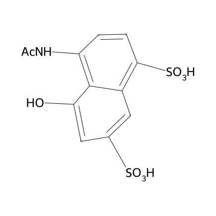 CC(=O)Nc1ccc(S(=O)(=O)O)c2cc(S(=O)(=O)O)cc(O)c12